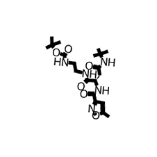 Cc1cc(C(=O)N[C@@H](CC(=O)NC(C)(C)C)C(=O)NCCNC(=O)OC(C)(C)C)no1